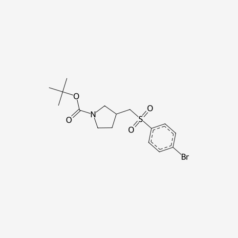 CC(C)(C)OC(=O)N1CCC(CS(=O)(=O)c2ccc(Br)cc2)C1